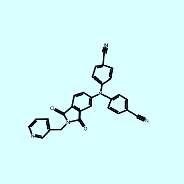 N#Cc1ccc(N(c2ccc(C#N)cc2)c2ccc3c(c2)C(=O)N(Cc2cccnc2)C3=O)cc1